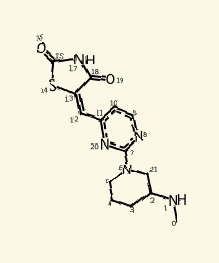 CNC1CCCN(c2nccc(/C=C3/SC(=O)NC3=O)n2)C1